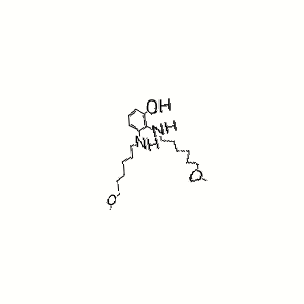 COCCCCCCNc1cccc(O)c1NCCCCCCOC